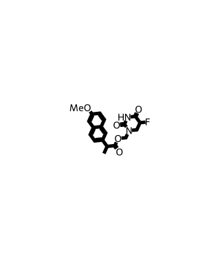 COc1ccc2cc(C(C)C(=O)OCN3CC(F)C(=O)NC3=O)ccc2c1